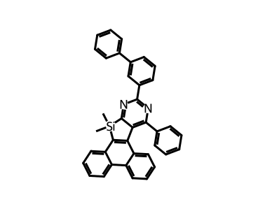 C[Si]1(C)c2nc(-c3cccc(-c4ccccc4)c3)nc(-c3ccccc3)c2-c2c1c1ccccc1c1ccccc21